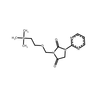 C[Si](C)(C)CCOCN1C(=O)CN(c2ncccn2)C1=O